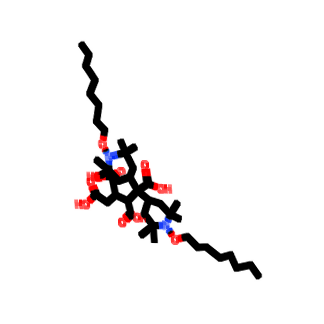 CCCCCCCCON1C(C)(C)CC(C(C(=O)O)(C2CC(C)(C)N(OCCCCCCCC)C(C)(C)C2)C(C(=O)O)C(CC(=O)O)C(=O)O)CC1(C)C